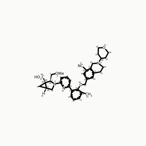 COC[C@H]1N(c2cccc(-c3cccc(C)c3OCc3cc(C#N)c4c(c3)CCN(C3CCOCC3)C4)n2)C[C@@H]2C[C@@]21C(=O)O